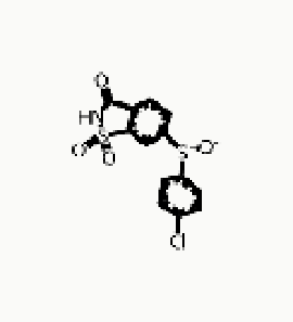 O=C1NS(=O)(=O)c2cc([S+]([O-])c3ccc(Cl)cc3)ccc21